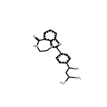 CC(C)CC(O)c1ccc(-c2nc3cccc4c3n2CCNC4=O)cc1